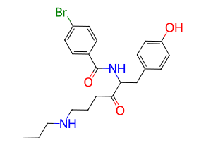 CCCNCCCC(=O)C(Cc1ccc(O)cc1)NC(=O)c1ccc(Br)cc1